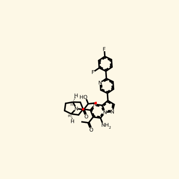 CC(=O)c1c(C2C[C@H]3CC[C@@H](C2)N3C(=O)C(C)O)nc2c(-c3ccc(-c4ccc(F)cc4F)nc3)cnn2c1N